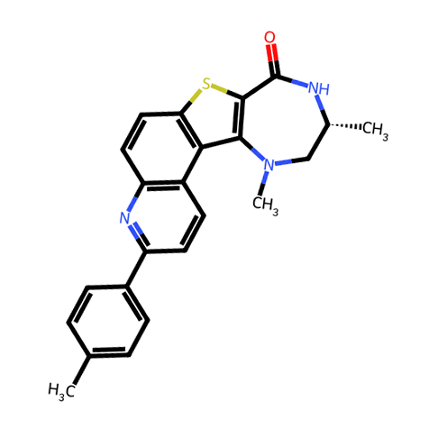 Cc1ccc(-c2ccc3c(ccc4sc5c(c43)N(C)C[C@@H](C)NC5=O)n2)cc1